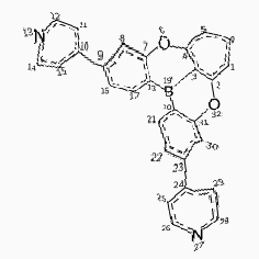 c1cc2c3c(c1)Oc1cc(-c4ccncc4)ccc1B3c1ccc(-c3ccncc3)cc1O2